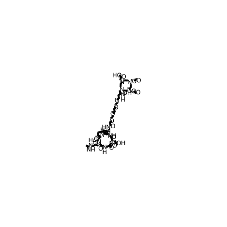 CC(=N)NCCC[C@@H]1NC(=O)[C@@H]2CC[C@H]3C[C@@H](CNC(=O)COCCOCCOCCOCCC(CN4CCN(COC=O)CCN(COC=O)CCN(CC(=O)O)CC4)NO)[C@@H](NC(=O)[C@H](CC(=O)O)NC(=O)CNC1=O)C(=O)N32